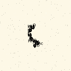 CC(=O)c1c(C)c2cnc(Nc3ccc(N4CCN(Cc5ccc(C6CCC(=O)NC6=O)cn5)CC4)cn3)nc2n(C2CCCC2)c1=O